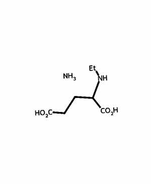 CCNC(CCC(=O)O)C(=O)O.N